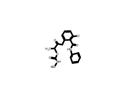 CC(OC(=O)NC(C)(C)C)C(=O)Cc1cccc(Cl)c1C(=O)Nc1ccccc1